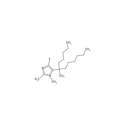 CCCCCCC(C)(CCCCC)c1c(F)nc(C)n1C